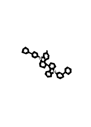 Cc1ccc2c3c(-c4cccc5c4c4ccccc4n5-c4cccc(-c5ccccc5)c4)cccc3n(-c3ccc(-c4ccccc4)cc3)c2c1